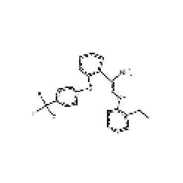 CCc1ccccc1N/C=C(\N)c1ccccc1Sc1ccc(C(F)(F)F)cc1